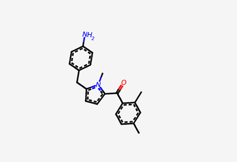 Cc1ccc(C(=O)c2ccc(Cc3ccc(N)cc3)n2C)c(C)c1